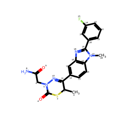 CC1SC(=O)N(CC(N)=O)N=C1c1ccc2c(c1)nc(-c1cccc(F)c1)n2C